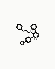 Clc1ccc(-c2nccc3c4ccccc4n(CCCc4ccccc4)c23)cc1